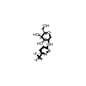 OC[C@H]1OCC(Nc2ccc(C(F)(F)F)nn2)[C@@H](O)[C@H]1O